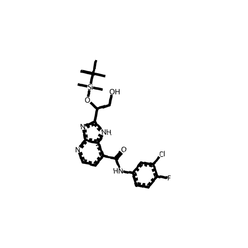 CC(C)(C)[Si](C)(C)OC(CO)c1nc2nccc(C(=O)Nc3ccc(F)c(Cl)c3)c2[nH]1